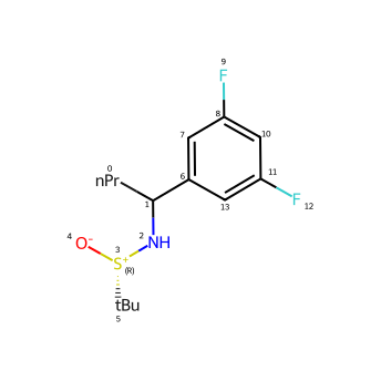 CCCC(N[S@@+]([O-])C(C)(C)C)c1cc(F)cc(F)c1